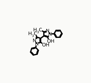 Cc1nn(-c2ccccc2)c(O)c1-c1c(C)nn(-c2ccccc2)c1O